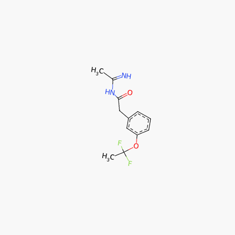 CC(=N)NC(=O)Cc1cccc(OC(C)(F)F)c1